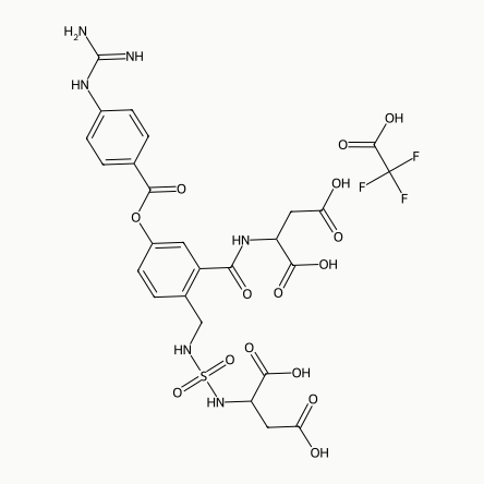 N=C(N)Nc1ccc(C(=O)Oc2ccc(CNS(=O)(=O)NC(CC(=O)O)C(=O)O)c(C(=O)NC(CC(=O)O)C(=O)O)c2)cc1.O=C(O)C(F)(F)F